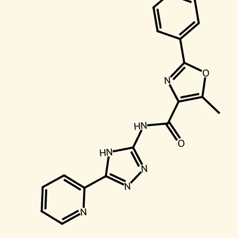 Cc1oc(-c2ccccc2)nc1C(=O)Nc1nnc(-c2ccccn2)[nH]1